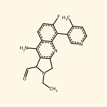 CCN1Cc2nc3c(-c4cnccc4C)c(F)ccc3c(N)c2C1C=O